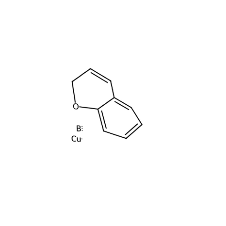 C1=Cc2ccccc2OC1.[B].[Cu]